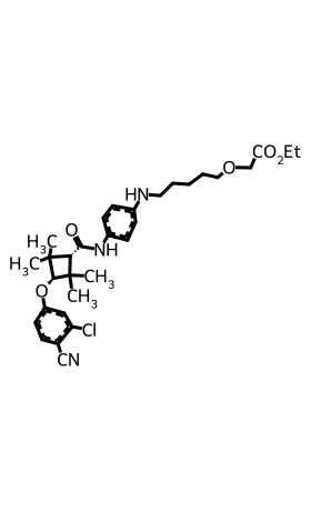 CCOC(=O)COCCCCCNc1ccc(NC(=O)[C@H]2C(C)(C)[C@H](Oc3ccc(C#N)c(Cl)c3)C2(C)C)cc1